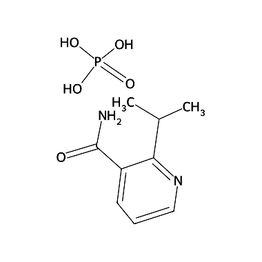 CC(C)c1ncccc1C(N)=O.O=P(O)(O)O